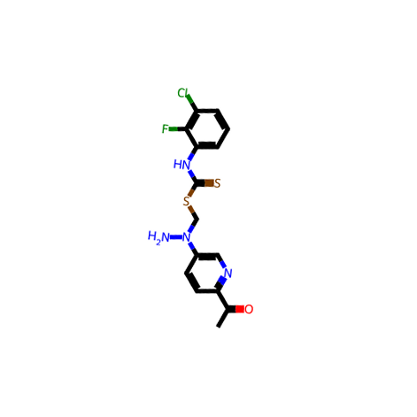 CC(=O)c1ccc(N(N)CSC(=S)Nc2cccc(Cl)c2F)cn1